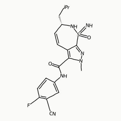 CC(C)C[C@H]1C=Cc2c(nn(C)c2C(=O)Nc2ccc(F)c(C#N)c2)S(=N)(=O)N1